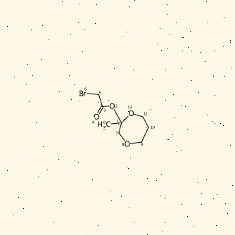 CC1(OC(=O)CBr)COCCCO1